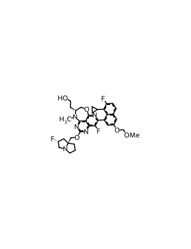 COCOc1cc(-c2nc3c4c(nc(OC[C@@]56CCCN5C[C@H](F)C6)nc4c2F)N(C)[C@@H](CCO)CO3)c2c(C3CC3)c(F)ccc2c1